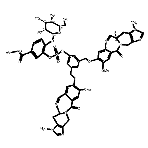 CCCNC(=O)c1ccc(O[C@@H]2O[C@H](CO)[C@H](O)[C@H](O)[C@H]2O)c(OS(=O)(=O)Oc2cc(COc3cc4c(cc3OC)C(=O)N3Cc5ncn(C)c5CC3N=C4)cc(COc3cc4c(cc3OC)C(=O)N3Cc5ncn(C)c5C[C@H]3C=N4)c2)c1